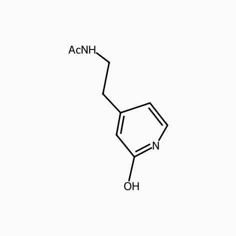 CC(=O)NCCc1ccnc(O)c1